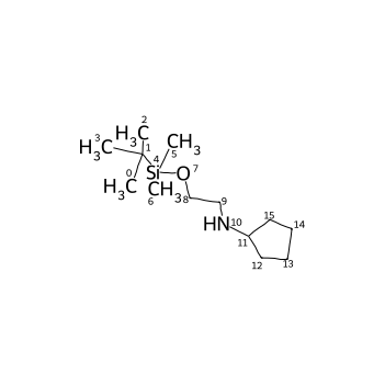 CC(C)(C)[Si](C)(C)OCCNC1CCCC1